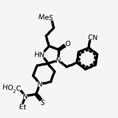 CCN(C(=O)O)C(=S)N1CCC2(CC1)NC(CCSC)C(=O)N2Cc1cccc(C#N)c1